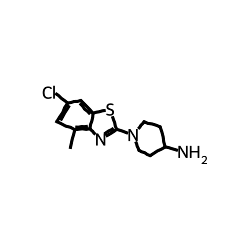 Cc1cc(Cl)cc2sc(N3CCC(N)CC3)nc12